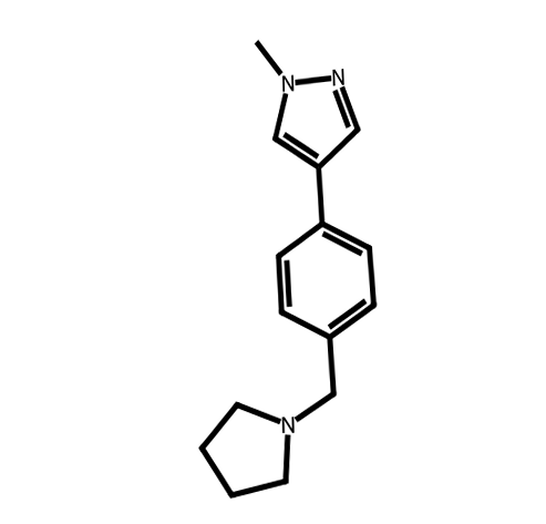 Cn1cc(-c2ccc(CN3CCCC3)cc2)cn1